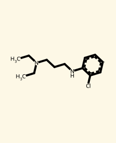 CCN(CC)CCCNc1cc[c]cc1Cl